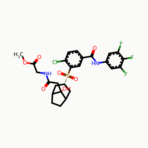 COC(=O)CNC(=O)C[C@]1(O)C2CCC1C[C@@H](S(=O)(=O)c1cc(C(=O)Nc3cc(F)c(F)c(F)c3)ccc1Cl)C2